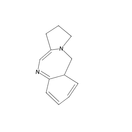 C1=CC2=NC=C3CCCN3CC2C=C1